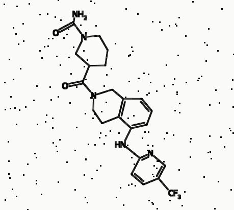 NC(=O)N1CCCC(C(=O)N2CCc3c(cccc3Nc3ccc(C(F)(F)F)cn3)C2)C1